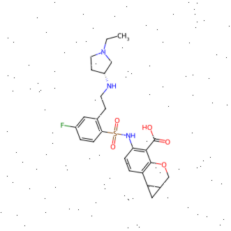 CCN1CC[C@@H](NCCc2cc(F)ccc2S(=O)(=O)Nc2ccc3c(c2C(=O)O)OCC2CC32)C1